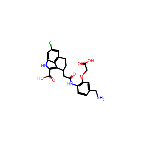 NCc1ccc(NC(=O)CC2CCc3cc(Cl)cc4[nH]c(C(=O)O)c2c34)c(OCC(=O)O)c1